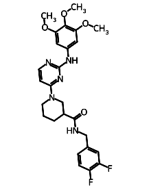 COc1cc(Nc2nccc(N3CCCC(C(=O)NCc4ccc(F)c(F)c4)C3)n2)cc(OC)c1OC